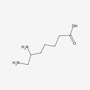 NCC(N)CCCCC(=O)O